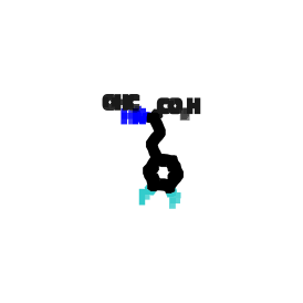 O=CNC(CCc1ccc(F)c(F)c1)C(=O)O